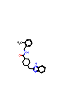 Cc1ccccc1CNC(=O)C1CCC(Cc2nc3ccccc3[nH]2)CC1